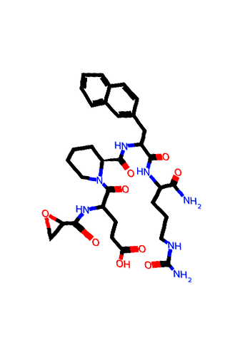 NC(=O)NCCCC(NC(=O)C(Cc1ccc2ccccc2c1)NC(=O)[C@@H]1CCCCN1C(=O)C(CCC(=O)O)NC(=O)C1CO1)C(N)=O